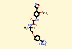 COc1cc(NC(=O)C(=O)NC(C)(C)CCOc2ccc(-c3nnn[nH]3)cc2)ccc1-c1cnco1